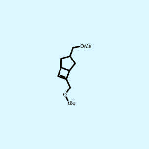 COCC1CC2C=C(COC(C)(C)C)C2C1